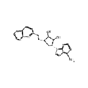 Nc1ncnc2c1ccn2[C@@H]1C[C@H](CCc2ccc3cccnc3n2)[C@@H](O)[C@H]1O